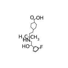 CC(C)(CCC1CCC(C(=O)O)CC1)NCC(O)c1cccc(F)c1